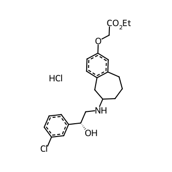 CCOC(=O)COc1ccc2c(c1)CCCC(NC[C@H](O)c1cccc(Cl)c1)C2.Cl